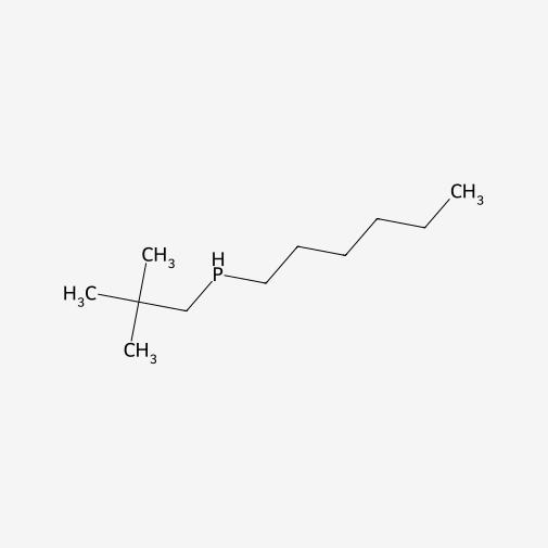 CCCCCCPCC(C)(C)C